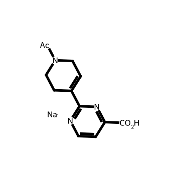 CC(=O)N1CC=C(c2nccc(C(=O)O)n2)CC1.[Na]